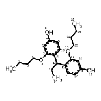 CCCCOc1cc(O)ccc1C(CC)c1ccc(O)cc1OCCCC